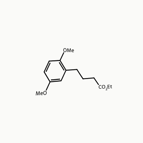 CCOC(=O)CCCc1cc(OC)ccc1OC